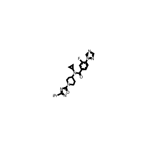 CC(C)c1noc(N2CCC(N(C(=O)c3ccc(-n4cncn4)c(F)c3)C3CC3)CC2)n1